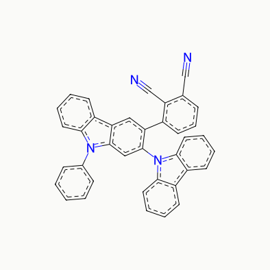 N#Cc1cccc(-c2cc3c4ccccc4n(-c4ccccc4)c3cc2-n2c3ccccc3c3ccccc32)c1C#N